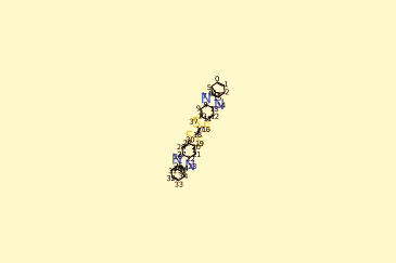 C1=CC2CCC1c1nc3cc4c(cc3nc12)SC(=C1Sc2cc3nc5c(nc3cc2S1)C1C=CC5CC1)S4